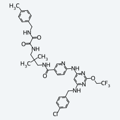 Cc1ccc(CNC(=O)C(=O)NCC(C)(C)CNC(=O)c2ccc(Nc3cc(NCc4ccc(Cl)cc4)nc(OCC(F)(F)F)n3)nc2)cc1